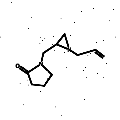 C=CCN1CC1CN1CCCC1=O